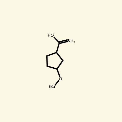 C=C(O)C1CCC(OC(C)(C)C)C1